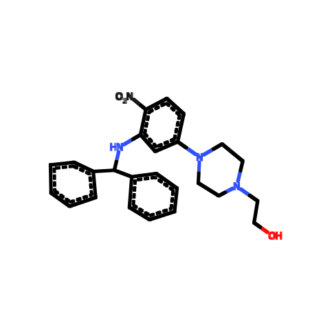 O=[N+]([O-])c1ccc(N2CCN(CCO)CC2)cc1NC(c1ccccc1)c1ccccc1